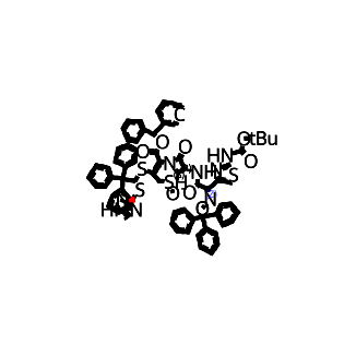 CC(C)(C)OC(=O)Nc1nc(/C(=N/OC(c2ccccc2)(c2ccccc2)c2ccccc2)C(=O)N[C@@H]2C(=O)N3C(C(=O)OC(c4ccccc4)c4ccccc4)=C(SC(Sc4nc[nH]n4)C(c4ccccc4)(c4ccccc4)c4ccccc4)C[S+]([O-])[C@@H]23)cs1